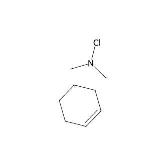 C1=CCCCC1.CN(C)Cl